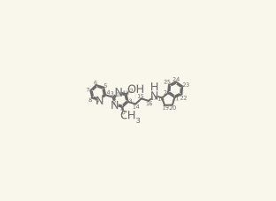 Cc1nc(-c2ccccn2)nc(O)c1CCCNC1CCc2ccccc21